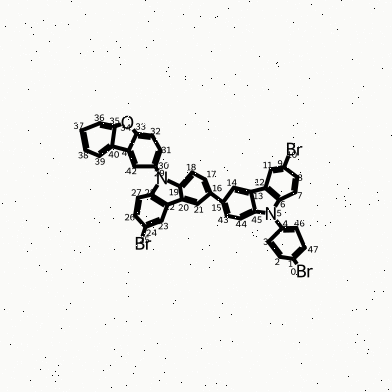 Brc1ccc(-n2c3ccc(Br)cc3c3cc(-c4ccc5c(c4)c4cc(Br)ccc4n5-c4ccc5oc6ccccc6c5c4)ccc32)cc1